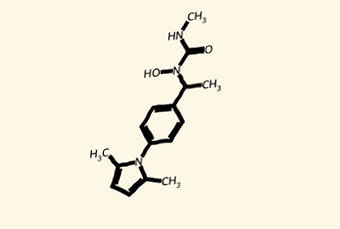 CNC(=O)N(O)C(C)c1ccc(-n2c(C)ccc2C)cc1